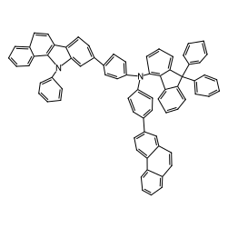 c1ccc(-n2c3cc(-c4ccc(N(c5ccc(-c6ccc7c(ccc8ccccc87)c6)cc5)c5cccc6c5-c5ccccc5C6(c5ccccc5)c5ccccc5)cc4)ccc3c3ccc4ccccc4c32)cc1